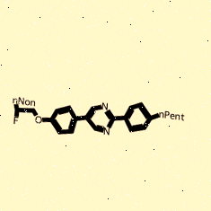 CCCCCCCCCC(F)COc1ccc(-c2cnc(-c3ccc(CCCCC)cc3)nc2)cc1